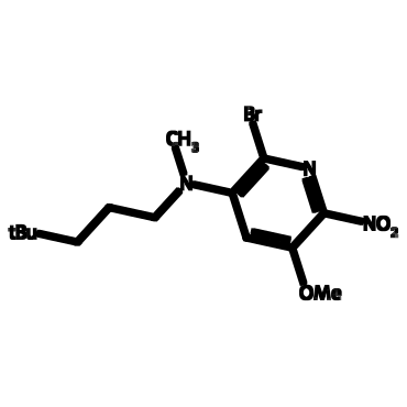 COc1cc(N(C)CCCC(C)(C)C)c(Br)nc1[N+](=O)[O-]